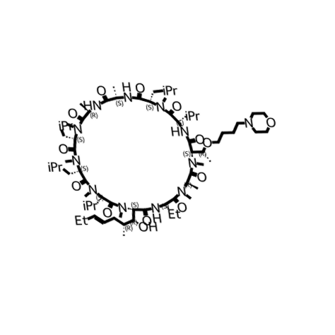 CCC=CC[C@@H](C)[C@@H](O)[C@H]1C(=O)N[C@@H](CC)C(=O)N(C)[C@H](C)C(=O)N(C)[C@@H]([C@@H](C)OCCCCN2CCOCC2)C(=O)N[C@@H](C(C)C)C(=O)N(C)[C@@H](CC(C)C)C(=O)N[C@@H](C)C(=O)N[C@H](C)C(=O)N(C)[C@@H](CC(C)C)C(=O)N(C)[C@@H](CC(C)C)C(=O)N(C)[C@@H](C(C)C)C(=O)N1C